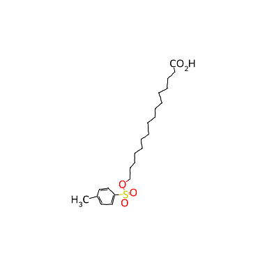 Cc1ccc(S(=O)(=O)OCCCCCCCCCCCCCCCC(=O)O)cc1